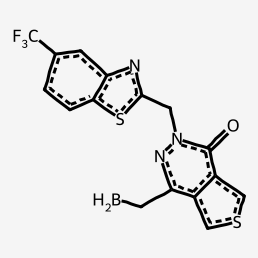 BCc1nn(Cc2nc3cc(C(F)(F)F)ccc3s2)c(=O)c2cscc12